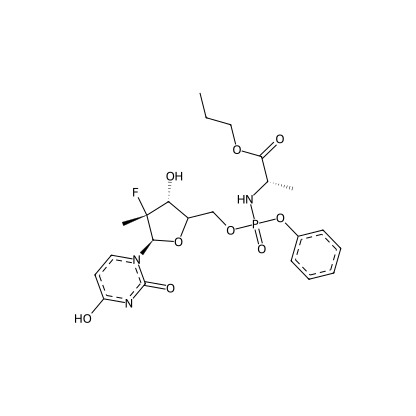 CCCOC(=O)[C@H](C)NP(=O)(OCC1O[C@@H](n2ccc(O)nc2=O)[C@](C)(F)[C@@H]1O)Oc1ccccc1